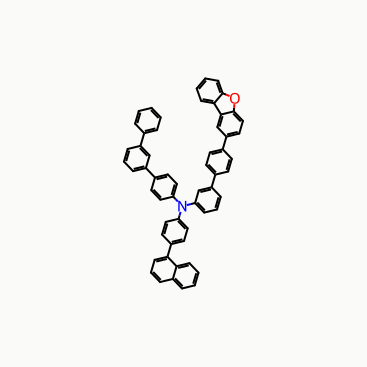 c1ccc(-c2cccc(-c3ccc(N(c4ccc(-c5cccc6ccccc56)cc4)c4cccc(-c5ccc(-c6ccc7oc8ccccc8c7c6)cc5)c4)cc3)c2)cc1